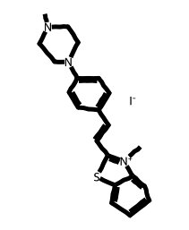 CN1CCN(c2ccc(C=Cc3sc4ccccc4[n+]3C)cc2)CC1.[I-]